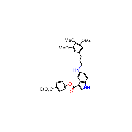 CCOC(=O)c1ccc(OC(=O)c2c[nH]c3ccc(NCCCc4cc(OC)c(OC)c(OC)c4)cc23)cc1